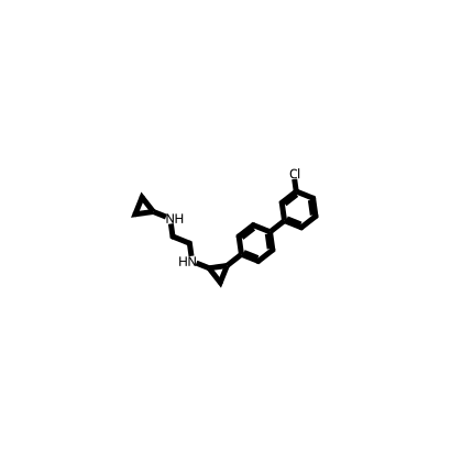 Clc1cccc(-c2ccc(C3CC3NCCNC3CC3)cc2)c1